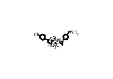 NCc1ccc([C@@H]2C[C@]2(NS(=O)(=O)c2ccc(-c3ccc(Cl)cc3)s2)C(=O)O)cc1